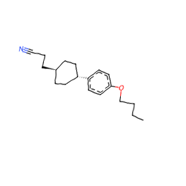 CCCCOc1ccc([C@H]2CC[C@H](CCC#N)CC2)cc1